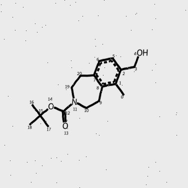 Cc1c(CO)ccc2c1CCN(C(=O)OC(C)(C)C)CC2